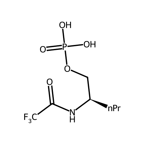 CCC[C@H](COP(=O)(O)O)NC(=O)C(F)(F)F